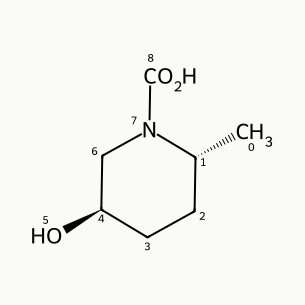 C[C@@H]1CC[C@@H](O)CN1C(=O)O